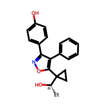 CC[C@H](O)C1(c2onc(-c3ccc(O)cc3)c2-c2ccccc2)CC1